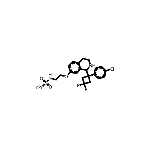 CCCS(=O)(=O)NCCOc1ccc2c(c1)C(C1(c3ccc(Cl)cc3)CC(F)(F)C1)NCC2